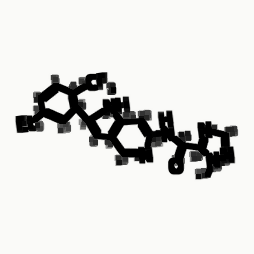 CCc1ccc(C(F)(F)F)c(-c2cc3cnc(NC(=O)c4ncnn4C)cc3[nH]2)c1